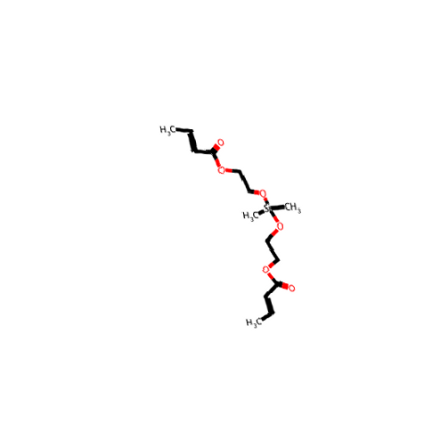 CC=CC(=O)OCCO[Si](C)(C)OCCOC(=O)C=CC